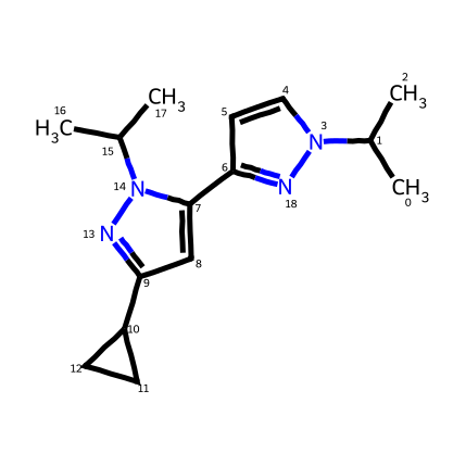 CC(C)n1ccc(-c2cc(C3CC3)nn2C(C)C)n1